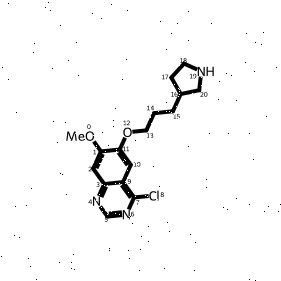 COc1cc2ncnc(Cl)c2cc1OCCCC1CCNC1